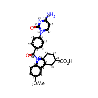 COc1ccc2c(c1)c1c(n2C(=O)c2ccc(-n3ccc(N)nc3=O)cc2)CCC(C(=O)O)C1